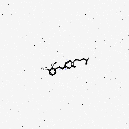 C=C/C=C(\C=C/NCCCC(=C)C)/C=C/c1cccc(O)c1OC